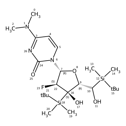 CN(C)c1ccn([C@@H]2O[C@H](C(O)[Si](C)(C)C(C)(C)C)[C@](O)([Si](C)(C)C(C)(C)C)[C@H]2F)c(=O)n1